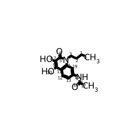 CCCCn1c(=O)c(O)c(O)c2ccc(NC(C)=O)cc21